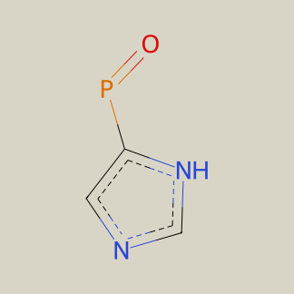 O=Pc1cnc[nH]1